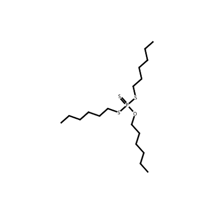 CCCCCCOP(=S)(SCCCCCC)SCCCCCC